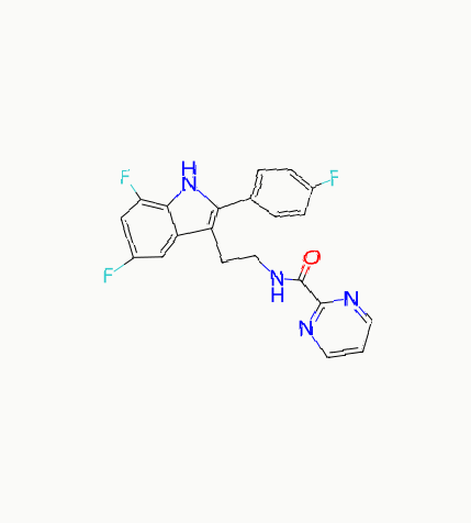 O=C(NCCc1c(-c2ccc(F)cc2)[nH]c2c(F)cc(F)cc12)c1ncccn1